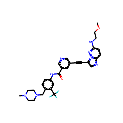 COCCNc1ccc2ncc(C#Cc3cncc(C(=O)Nc4ccc(CN5CCN(C)CC5)c(C(F)(F)F)c4)c3)n2n1